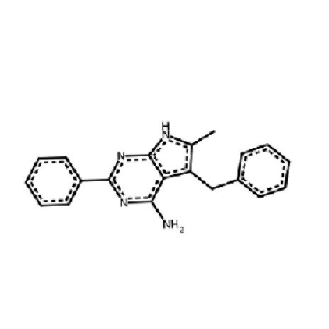 Cc1[nH]c2nc(-c3ccccc3)nc(N)c2c1Cc1ccccc1